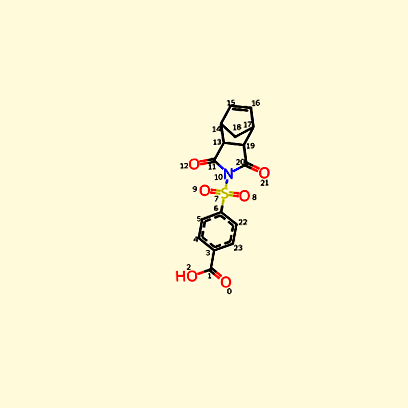 O=C(O)c1ccc(S(=O)(=O)N2C(=O)C3C4C=CC(C4)C3C2=O)cc1